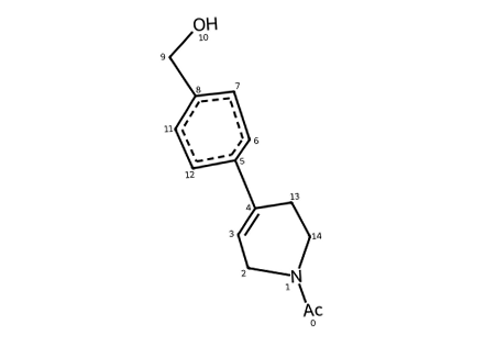 CC(=O)N1CC=C(c2ccc(CO)cc2)CC1